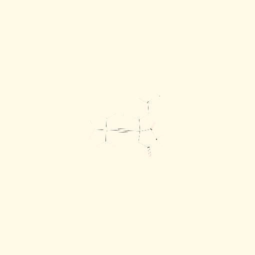 CC(C)[Si](C#CC1(C(O)CC(=O)O)CC(=O)C(C)(C)C1=O)(C(C)C)C(C)C